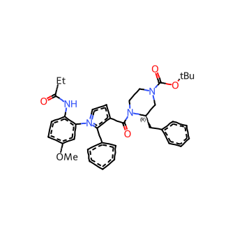 CCC(=O)Nc1ccc(OC)cc1-n1ccc(C(=O)N2CCN(C(=O)OC(C)(C)C)C[C@H]2Cc2ccccc2)c1-c1ccccc1